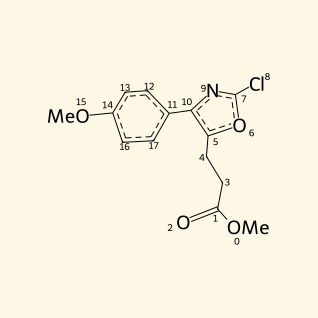 COC(=O)CCc1oc(Cl)nc1-c1ccc(OC)cc1